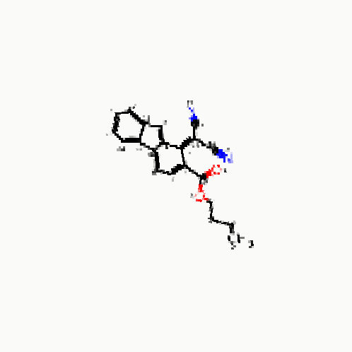 CCCCOC(=O)c1ccc2c(c1=C(C#N)C#N)=Cc1ccccc1-2